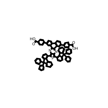 O=C(O)c1ccc(-c2ccc3c4ccc(-c5ccc(C(=O)O)cc5)cc4c4nc5c(-c6cccc7c6-c6ccccc6C7(c6ccccc6)c6ccccc6)sc(-c6cccc7c6-c6ccccc6C7(c6ccccc6)c6ccccc6)c5nc4c3c2)cc1